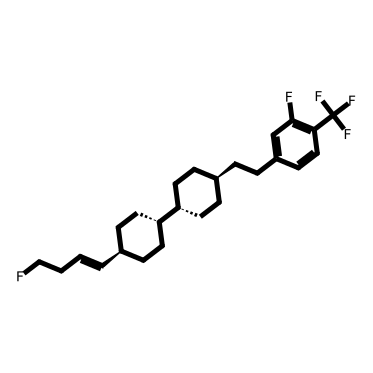 FCCC=C[C@H]1CC[C@H]([C@H]2CC[C@H](CCc3ccc(C(F)(F)F)c(F)c3)CC2)CC1